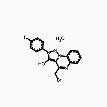 O.OC1=C2C(CBr)=Nc3ccccc3N2[N]N1c1ccc(F)cc1